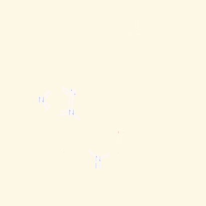 CC(C)(C)C(NC(=O)c1ccccc1)C(Cc1ccc(-c2ccco2)cc1)n1cncn1